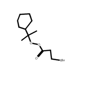 CC(C)(C)CCC(=O)OOC(C)(C)C1CCCCC1